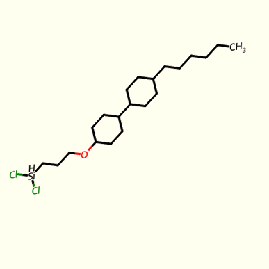 CCCCCCC1CCC(C2CCC(OCCC[SiH](Cl)Cl)CC2)CC1